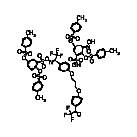 Cc1ccc(S(=O)(=O)OC2=CC(S(=O)(=O)O)=C(OS(=O)(=O)c3ccc(C)cc3)C(=NO)C2)cc1.Cc1ccc(S(=O)(=O)Oc2ccc(OS(=O)(=O)c3ccc(C)cc3)c(S(=O)(=O)ON=C(c3ccc(OCCCOc4ccc(C(=O)C(F)(F)F)cc4)cc3)C(F)(F)F)c2)cc1